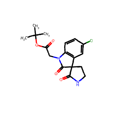 CC(C)(C)OC(=O)CN1C(=O)C2(CCNC2=O)c2cc(Cl)ccc21